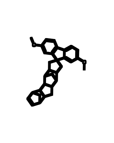 COc1ccc2c(c1)C1(CC3C(C1)C1CC3C3CC4C5C=CC(C5)C4C13)c1cc(OC)ccc1-2